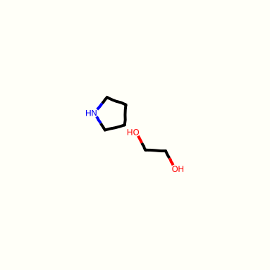 C1CCNC1.OCCO